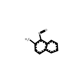 Cc1ccc2ccccc2c1N=O